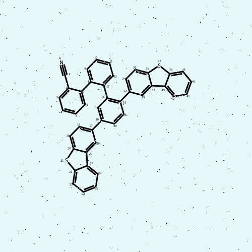 N#Cc1ccccc1-c1ccccc1-c1cc(-c2ccc3sc4ccccc4c3c2)ccc1-c1ccc2sc3ccccc3c2c1